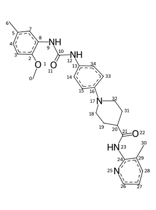 COc1ccc(C)cc1NC(=O)Nc1ccc(N2CCC(C(=O)Nc3ncccc3C)CC2)cc1